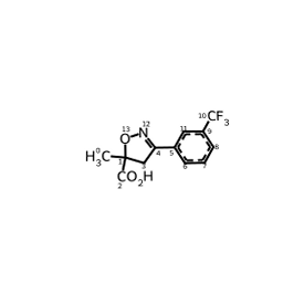 CC1(C(=O)O)CC(c2cccc(C(F)(F)F)c2)=NO1